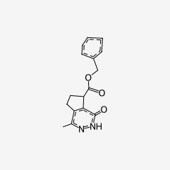 Cc1n[nH]c(=O)c2c1CCC2C(=O)OCc1ccccc1